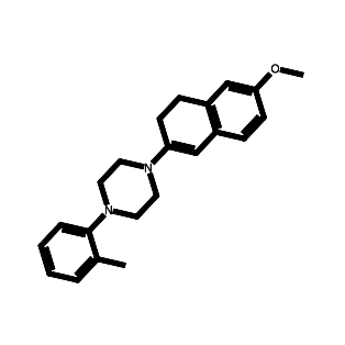 COc1ccc2c(c1)CCC(N1CCN(c3ccccc3C)CC1)=C2